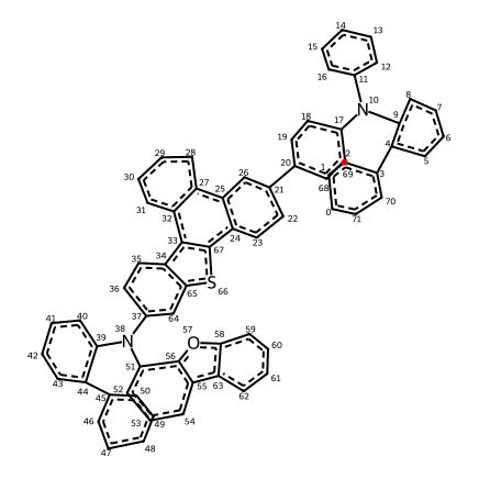 c1ccc(-c2ccccc2N(c2ccccc2)c2ccc(-c3ccc4c(c3)c3ccccc3c3c5ccc(N(c6ccccc6-c6ccccc6)c6cccc7c6oc6ccccc67)cc5sc43)cc2)cc1